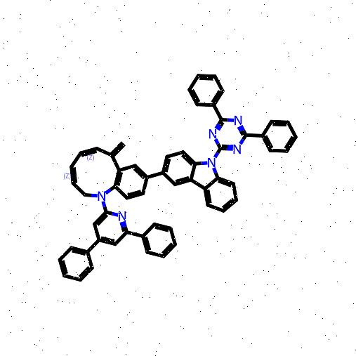 C=C1/C=C\C=C/CN(c2cc(-c3ccccc3)cc(-c3ccccc3)n2)c2ccc(-c3ccc4c(c3)c3ccccc3n4-c3nc(-c4ccccc4)nc(-c4ccccc4)n3)cc21